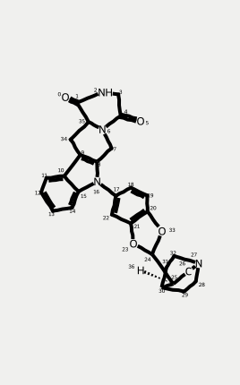 O=C1NCC(=O)N2Cc3c(c4ccccc4n3-c3ccc4c(c3)OC([C@H]3CN5CCC3CC5)O4)CC12